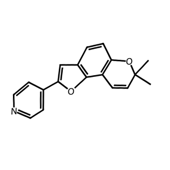 CC1(C)C=Cc2c(ccc3cc(-c4ccncc4)oc23)O1